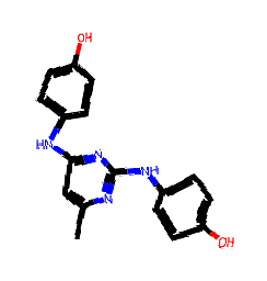 Cc1cc(Nc2ccc(O)cc2)nc(Nc2ccc(O)cc2)n1